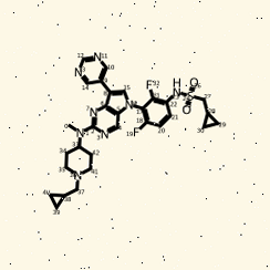 CN(c1ncc2c(n1)c(-c1cncnc1)cn2-c1c(F)ccc(NS(=O)(=O)CC2CC2)c1F)C1CCN(CC2CC2)CC1